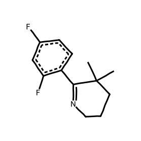 CC1(C)CCCN=C1c1ccc(F)cc1F